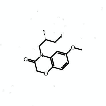 COc1ccc2c(c1)N(C[C@H](C)CI)C(=O)CO2